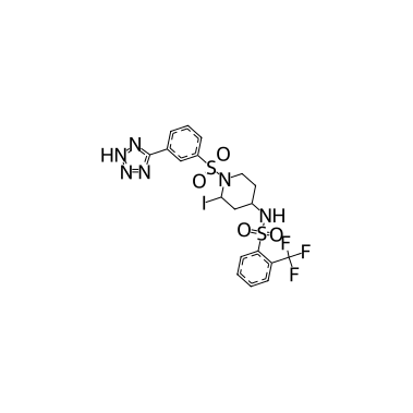 O=S(=O)(NC1CCN(S(=O)(=O)c2cccc(-c3nn[nH]n3)c2)C(I)C1)c1ccccc1C(F)(F)F